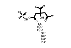 O.O.O.O=C([O-])CC(O)(CC(=O)[O-])C(=O)[O-].O=P([O-])(O)O.[Na+].[Na+].[Na+].[Na+]